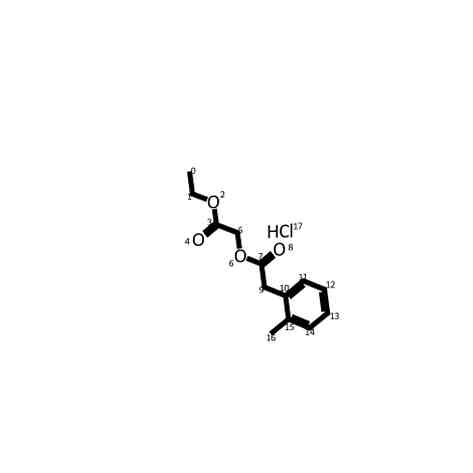 CCOC(=O)COC(=O)Cc1ccccc1C.Cl